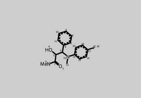 CNC(=O)C(O)C(c1ccccc1)N(C)c1ccc(F)cc1